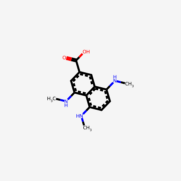 CNc1ccc(NC)c2c(NC)cc(C(=O)O)cc12